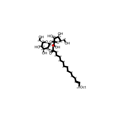 CCCCCCCC/C=C/CCCCCCCCCCCC(=O)O[C@@]1(OC2(CO)O[C@H](CO)[C@@H](O)[C@@H]2O)O[C@H](CO)[C@@H](O)[C@H](O)[C@H]1O